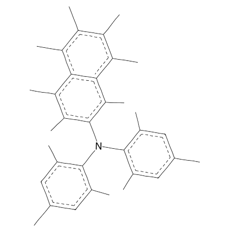 Cc1cc(C)c(N(c2c(C)cc(C)cc2C)c2c(C)c(C)c3c(C)c(C)c(C)c(C)c3c2C)c(C)c1